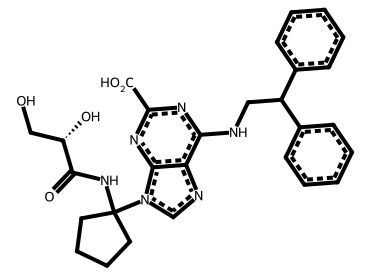 O=C(O)c1nc(NCC(c2ccccc2)c2ccccc2)c2ncn(C3(NC(=O)[C@@H](O)CO)CCCC3)c2n1